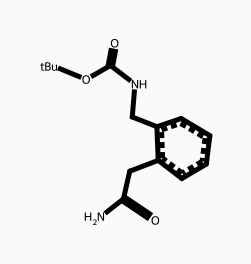 CC(C)(C)OC(=O)NCc1ccccc1CC(N)=O